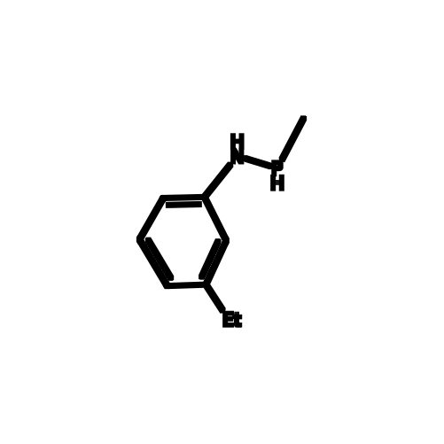 CCc1cccc(NPC)c1